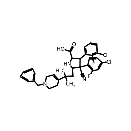 CC(C)(CC1NC(C(=O)O)C(c2cccc(Cl)c2F)C1(C#N)c1ccc(Cl)cc1F)C1=CCN(Cc2ccccc2)CC1